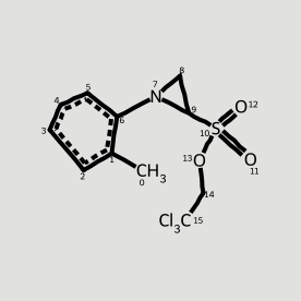 Cc1ccccc1N1CC1S(=O)(=O)OCC(Cl)(Cl)Cl